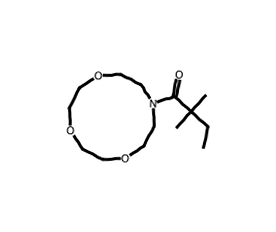 CCC(C)(C)C(=O)N1CCOCCOCCOCC1